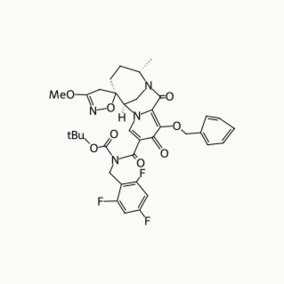 COC1=NO[C@@]2(CC[C@H](C)N3C[C@H]2n2cc(C(=O)N(Cc4c(F)cc(F)cc4F)C(=O)OC(C)(C)C)c(=O)c(OCc4ccccc4)c2C3=O)C1